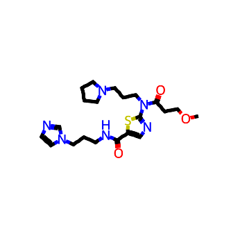 COCCC(=O)N(CCCN1CCCC1)c1ncc(C(=O)NCCCn2ccnc2)s1